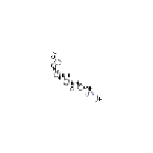 CC(C)Oc1cccc2c1ccn2-c1ccnc(Nc2cccc(NC(=O)c3ccc(NC(=O)/C=C/CN(C)C)cc3)c2)n1